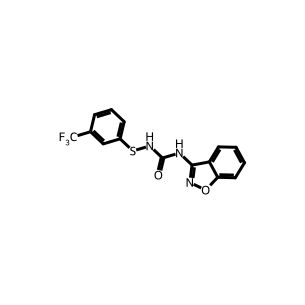 O=C(NSc1cccc(C(F)(F)F)c1)Nc1noc2ccccc12